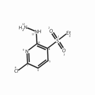 CCS(=O)(=O)c1ccc(Cl)nc1NN